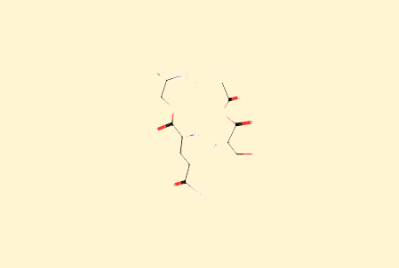 CC[C@H](C)[C@H](N)C(=O)OC(=O)[C@@H](N)[C@@H](C)O.NC(=O)CC[C@H](N)C(=O)OC[C@H](N)C(=O)O